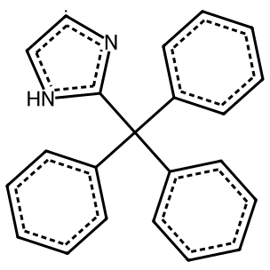 [c]1c[nH]c(C(c2ccccc2)(c2ccccc2)c2ccccc2)n1